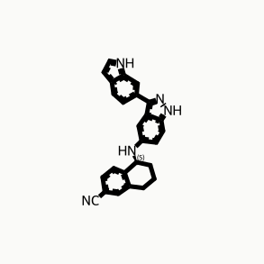 N#Cc1ccc2c(c1)CCC[C@@H]2Nc1ccc2[nH]nc(-c3ccc4cc[nH]c4c3)c2c1